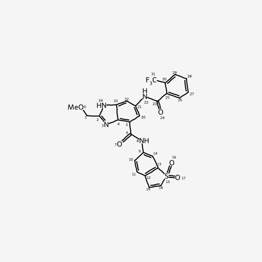 COCc1nc2c(C(=O)Nc3ccc4c(c3)S(=O)(=O)C=C4)cc(NC(=O)c3ccccc3C(F)(F)F)cc2[nH]1